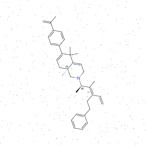 C=C/C(CCc1ccccc1)=C(\C)[C@@H](C)N1CC=C2C(C)(C)C(c3ccc(C(=C)C)cc3)=CC[C@]2(C)C1